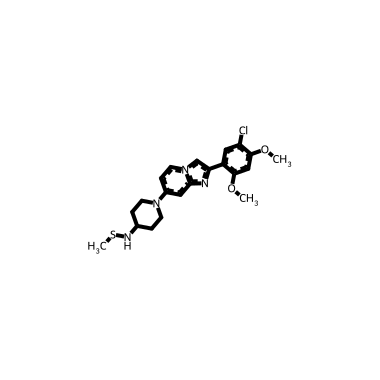 COc1cc(OC)c(-c2cn3ccc(N4CCC(NSC)CC4)cc3n2)cc1Cl